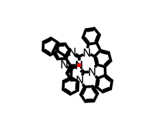 C1=C(c2ccccc2)N=C(n2c3ccccc3c3ccc4c5ccccc5n(-c5nc(-c6ccccc6)nc(-c6ccccc6)n5)c4c32)N(c2ccccc2)C1